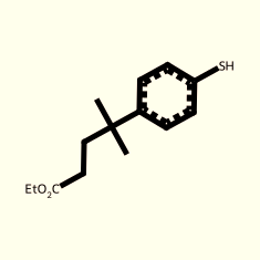 CCOC(=O)CCC(C)(C)c1ccc(S)cc1